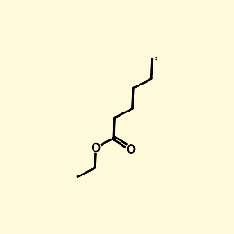 [CH]CCCCC(=O)OCC